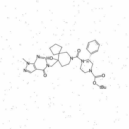 Cn1ncc2c(=O)n(CC3(O)CCN(C(=O)N4CCN(C(=O)OC(C)(C)C)C[C@H]4c4ccccc4)CC34CCCC4)cnc21